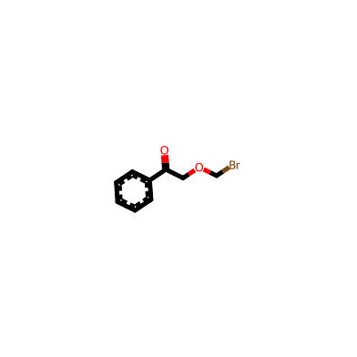 O=C(COCBr)c1ccccc1